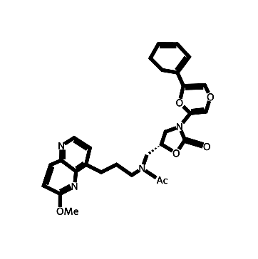 COc1ccc2nccc(CCCN(C[C@@H]3CN(C4=COC=C(C5=CC=CCC5)O4)C(=O)O3)C(C)=O)c2n1